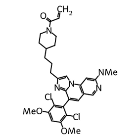 C=CC(=O)N1CCC(CCCc2cn3c(n2)c(-c2c(Cl)c(OC)cc(OC)c2Cl)cc2cnc(NC)cc23)CC1